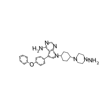 Nc1ncnc2c1c(-c1ccc(Oc3ccccc3)cc1)cn2C1CCC(N2CCN(N)CC2)CC1